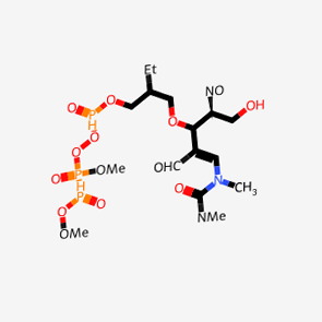 CCC(COC(/C(C=O)=C/N(C)C(=O)NC)[C@H](CO)N=O)CO[PH](=O)OOP(=O)(OC)[PH](=O)OOC